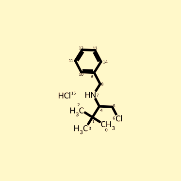 CC(C)(C)C(CCl)NCc1ccccc1.Cl